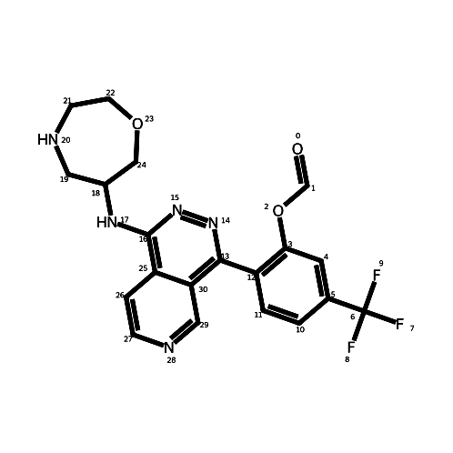 O=COc1cc(C(F)(F)F)ccc1-c1nnc(NC2CNCCOC2)c2ccncc12